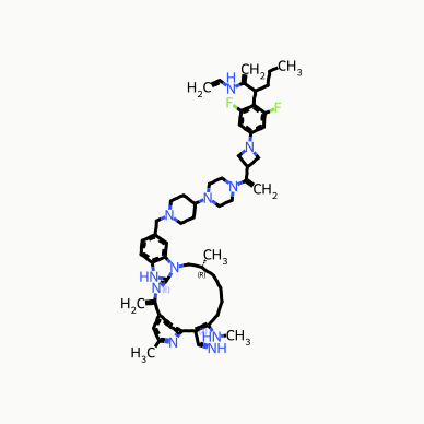 C=CNC(=C)C(CCC)c1c(F)cc(N2CC(C(=C)N3CCN(C4CCN(Cc5ccc6c(c5)N5C[C@H](C)CCCC/C(NC)=C(/C=N)c7cc(cc(C)n7)C(=C)/N=C/5N6)CC4)CC3)C2)cc1F